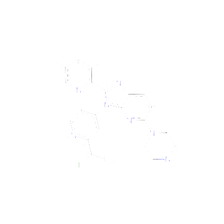 C[C@@H]1CNCCN1c1ccc2nc(-c3ccc(F)cn3)n(-c3ccnc(C(F)F)c3)c2n1